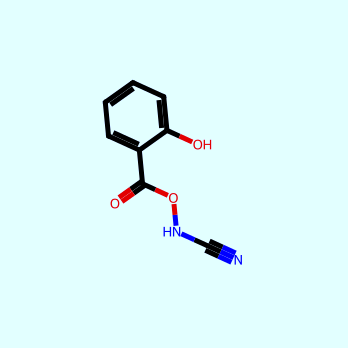 N#CNOC(=O)c1ccccc1O